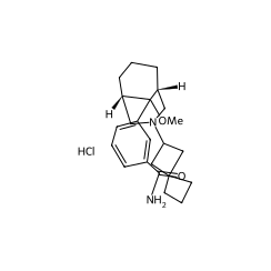 COC1(c2cccc(C(N)=O)c2)[C@@H]2CCC[C@H]1CN(C1CC3(CCC3)C1)C2.Cl